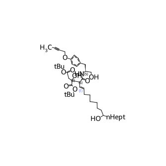 CC#CCOc1ccc(C[C@@H](CO)NC(=O)[C@@H](/C=C/CCCCCCC(O)CCCCCCC)[C@@](O)(CC(=O)OC(C)(C)C)C(=O)OC(C)(C)C)cc1